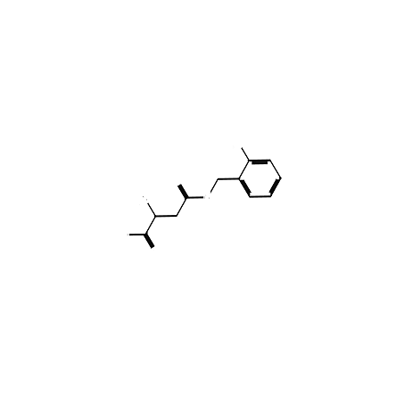 Cc1ccccc1CNC(=O)CC(N)C(=O)O